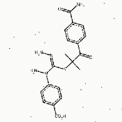 CC(C)(S/C(=N/N)N(N)c1ccc(C(=O)O)cc1)C(=O)c1ccc(C(N)=O)cc1